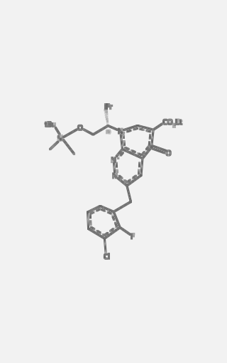 CCOC(=O)c1cn([C@H](CO[Si](C)(C)C(C)(C)C)C(C)C)c2nnc(Cc3cccc(Cl)c3F)cc2c1=O